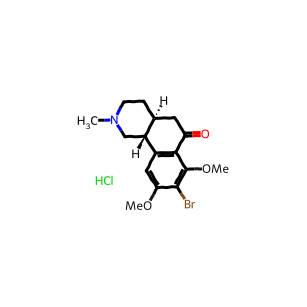 COc1cc2c(c(OC)c1Br)C(=O)C[C@@H]1CCN(C)C[C@@H]21.Cl